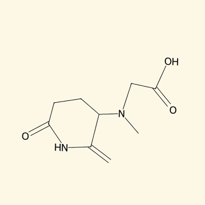 C=C1NC(=O)CCC1N(C)CC(=O)O